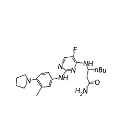 CCCCC(CC(N)=O)Nc1nc(Nc2ccc(N3CCCC3)c(C)c2)ncc1F